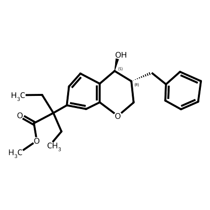 CCC(CC)(C(=O)OC)c1ccc2c(c1)OC[C@@H](Cc1ccccc1)[C@@H]2O